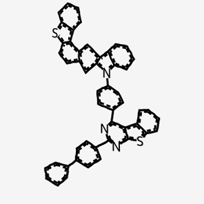 c1ccc(-c2ccc(-c3nc(-c4ccc(-n5c6ccccc6c6cc7c(ccc8sc9ccccc9c87)cc65)cc4)c4c(n3)sc3ccccc34)cc2)cc1